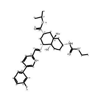 CCOC(=O)N[C@@H]1CC[C@@H]2[C@@H](C1)C[C@@H](C(=O)OC(C)C)C[C@H]2/C=C/c1ccc(-c2cccc(F)c2)cn1